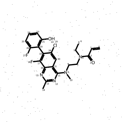 C=CC(=O)N(CI)CCN(C)c1nc(C)nc2c(F)c(-c3c(O)cccc3F)c(Cl)cc12